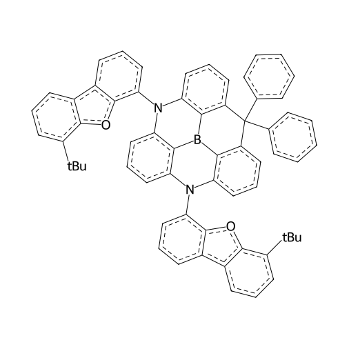 CC(C)(C)c1cccc2c1oc1c(N3c4cccc5c4B4c6c3cccc6C(c3ccccc3)(c3ccccc3)c3cccc(c34)N5c3cccc4c3oc3c(C(C)(C)C)cccc34)cccc12